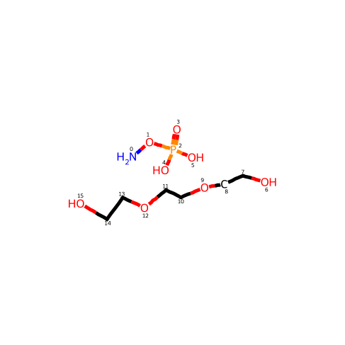 NOP(=O)(O)O.OCCOCCOCCO